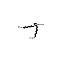 CCCCCCCCCCCCCCCCCc1n(CCCCCC)cc[n+]1CCCCCCCCCCCCCCCCC